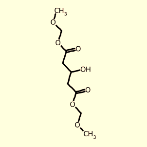 COCOC(=O)CC(O)CC(=O)OCOC